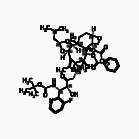 CC(=O)O[C@@]12CO[C@@H]1CC[C@@]1(C)[C@@H]3O[C@H](CN(C)C)O[C@@H]3C3=C(C)[C@@H](CC(=O)[C@H](O)[C@@H](NC(=O)OC(C)(C)C)c4ncccc4F)C[C@@](O)([C@@H](OC(=O)c4ccccc4)[C@@H]12)C3(C)C